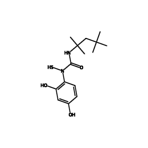 CC(C)(C)CC(C)(C)NC(=O)N(S)c1ccc(O)cc1O